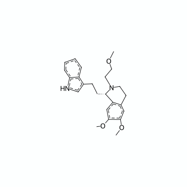 COCCN1CCc2cc(OC)c(OC)cc2[C@@H]1CCc1c[nH]c2ccccc12